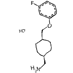 Cl.NC[C@H]1CC[C@@H](COc2cccc(F)c2)CC1